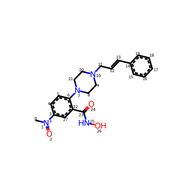 C[N+](=O)c1ccc(N2CCN(C/C=C/c3ccccc3)CC2)c(C(=O)NO)c1